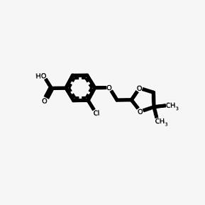 CC1(C)COC(COc2ccc(C(=O)O)cc2Cl)O1